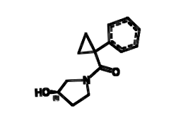 O=C(N1CC[C@@H](O)C1)C1(c2ccccc2)CC1